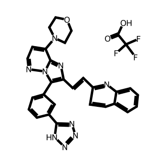 C(=C\c1nc2c(N3CCOCC3)ccnn2c1-c1cccc(-c2nnn[nH]2)c1)/c1ccc2ccccc2n1.O=C(O)C(F)(F)F